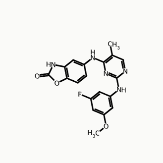 COc1cc(F)cc(Nc2ncc(C)c(Nc3ccc4oc(=O)[nH]c4c3)n2)c1